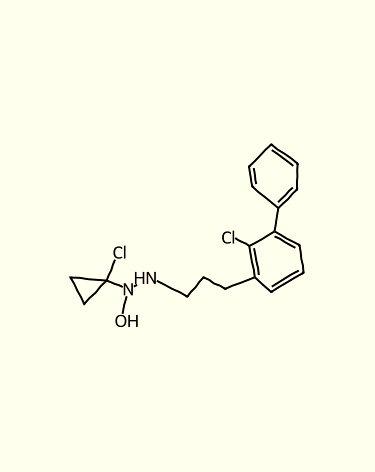 ON(NCCCc1cccc(-c2ccccc2)c1Cl)C1(Cl)CC1